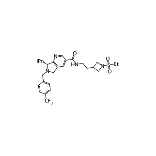 CCS(=O)(=O)N1CC(CCNC(=O)c2cnc3c(c2)CN(Cc2ccc(C(F)(F)F)cc2)[C@H]3C(C)C)C1